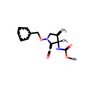 C=C1CN(OCc2ccccc2)C(=C=O)[C@@]1(C)NC(=O)OC(C)(C)C